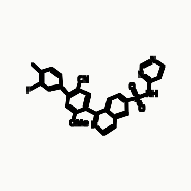 COc1cc(-c2ccc(C)c(F)c2)c(C#N)cc1-c1nccc2cc(S(=O)(=O)Nc3ccncn3)ccc12